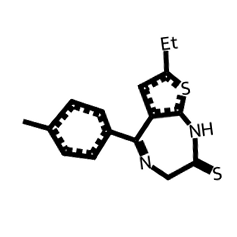 CCc1cc2c(s1)NC(=S)CN=C2c1ccc(C)cc1